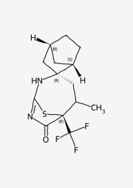 CC1C[C@@]2(C[C@@H]3CC[C@H]2C3)NC2=NC(=O)[C@]1(C(F)(F)F)S2